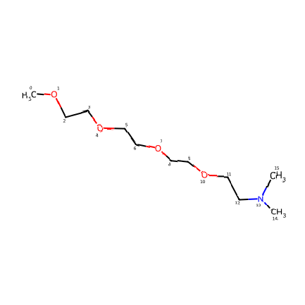 COCCOCCOCCOCCN(C)C